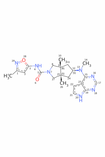 Cc1cc(NC(=O)N2C[C@]3(C)C[C@@H](N(C)c4ncnc5[nH]ccc45)C[C@]3(C)C2)on1